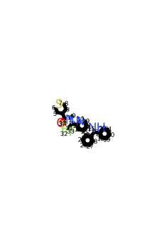 CN(C(=O)C1CCSCC1)C(c1ccc(NC(c2ccccc2)c2ccccc2)cn1)C(F)(F)F